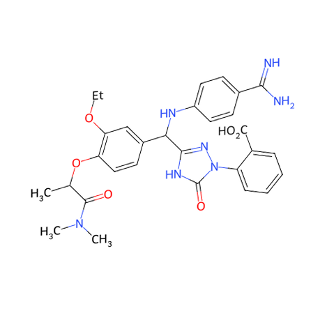 CCOc1cc(C(Nc2ccc(C(=N)N)cc2)c2nn(-c3ccccc3C(=O)O)c(=O)[nH]2)ccc1OC(C)C(=O)N(C)C